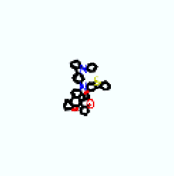 c1ccc(-n2c3ccccc3c3ccc(N(c4ccc5c(c4)C4(c6ccccc6Oc6ccccc64)c4cccc6cccc-5c46)c4ccc5c(c4)sc4ccccc45)cc32)cc1